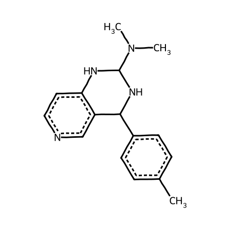 Cc1ccc(C2NC(N(C)C)Nc3ccncc32)cc1